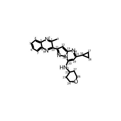 Cc1nc2ccccc2nc1-c1cc2nc(C3CC3)cc(NC3CCOCC3)n2n1